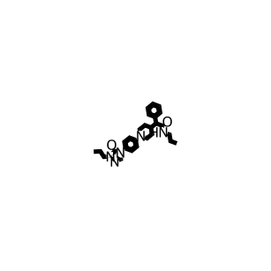 CCCNC(=O)C(c1ccccc1)C1CCN(c2ccc(-n3cnn(CCC)c3=O)cc2)CC1